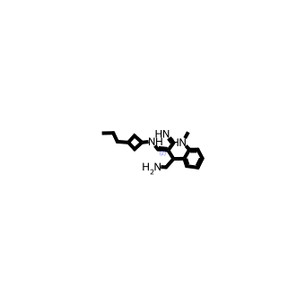 CCCC1CC(N/C=C(\C=N)C(CN)c2ccccc2NC)C1